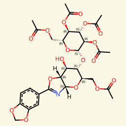 CC(=O)OC[C@H]1O[C@@H]2N=C(c3ccc4c(c3)OCO4)O[C@@H]2[C@@H](O)[C@@H]1O[C@@H]1O[C@H](COC(C)=O)[C@@H](OC(C)=O)[C@H](OC(C)=O)[C@H]1OC(C)=O